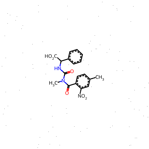 Cc1ccc(C(=O)N(C)C(=O)NC(C(=O)O)c2ccccc2)c([N+](=O)[O-])c1